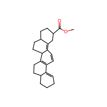 COC(=O)C1CCC2CCC3C(=C2C1)C=CC1=C3CCC2CCCC=C12